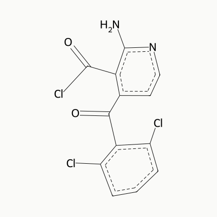 Nc1nccc(C(=O)c2c(Cl)cccc2Cl)c1C(=O)Cl